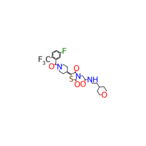 O=C(CN1C(=O)SC(=C2CCN(C(=O)c3cc(F)ccc3C(F)(F)F)CC2)C1=O)NCCC1CCOCC1